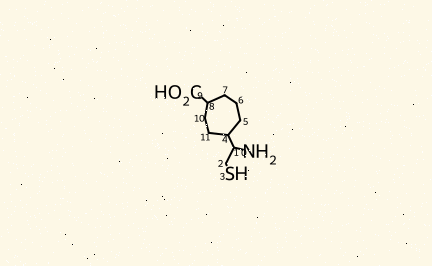 NC(CS)C1CCCC(C(=O)O)CC1